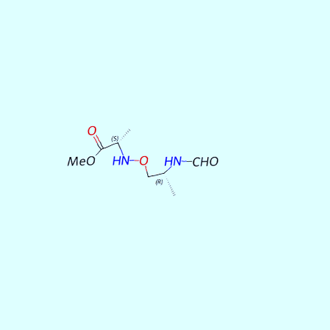 COC(=O)[C@H](C)NOC[C@@H](C)NC=O